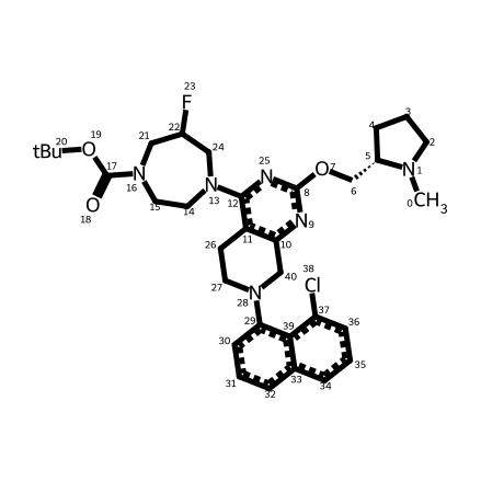 CN1CCC[C@H]1COc1nc2c(c(N3CCN(C(=O)OC(C)(C)C)CC(F)C3)n1)CCN(c1cccc3cccc(Cl)c13)C2